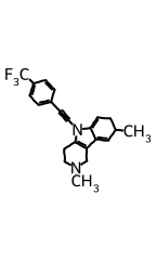 CC1C=c2c3c(n(C#Cc4ccc(C(F)(F)F)cc4)c2=CC1)CCN(C)C3